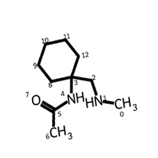 CNCC1(NC(C)=O)CCCCC1